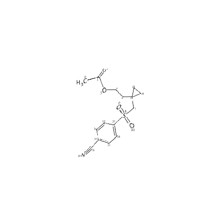 CC(=O)OCCC1(CS(=O)(=O)c2ccc(C#N)cc2)CC1